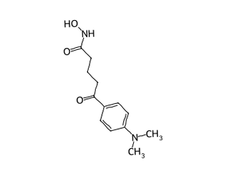 CN(C)c1ccc(C(=O)CCCC(=O)NO)cc1